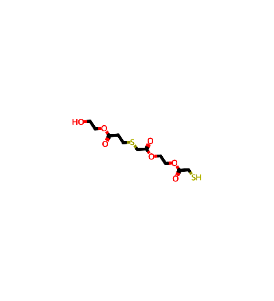 O=C(CS)OCCOC(=O)CSCCC(=O)OCCO